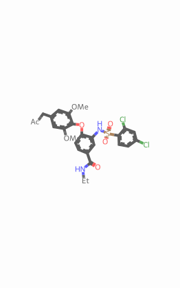 CCNC(=O)c1ccc(Oc2c(OC)cc(CC(C)=O)cc2OC)c(NS(=O)(=O)c2ccc(Cl)cc2Cl)c1